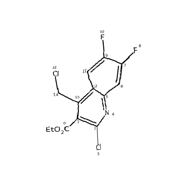 CCOC(=O)c1c(Cl)nc2cc(F)c(F)cc2c1CCl